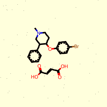 CN1CCC(Oc2ccc(Br)cc2)C(c2ccccc2)C1.O=C(O)C=CC(=O)O